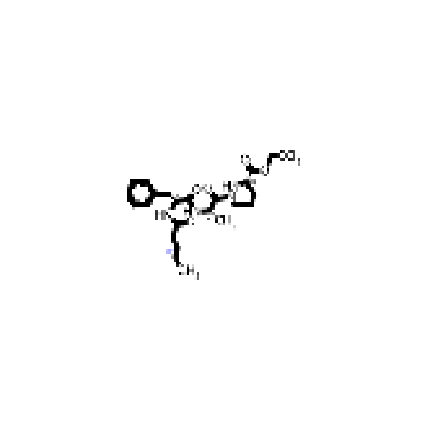 C/C=C/CC(=O)N[C@@H](Cc1ccccc1)C(=O)N[C@@H](C)C(=O)N1CCC[C@@H](C(=O)OCC(Cl)(Cl)Cl)N1